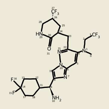 CN(CC(F)(F)F)c1cc2nc([C@@H](N)C3CCC(F)(F)CC3)cn2nc1CC1C[C@@H](C(F)(F)F)CNC1=O